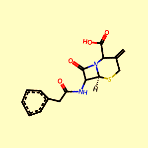 C=C1CS[C@H]2C(NC(=O)Cc3ccccc3)C(=O)N2C1C(=O)O